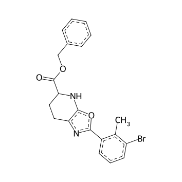 Cc1c(Br)cccc1-c1nc2c(o1)NC(C(=O)OCc1ccccc1)CC2